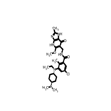 CCN(c1cc(Cl)cc(C(=O)NCc2c(OC)[nH]c3nc(C)[nH]c3c2=O)c1C)[C@H]1CC[C@H](N(C)C)CC1